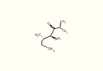 CC[C@H](C)[C@H](N)C(=O)N(C)C